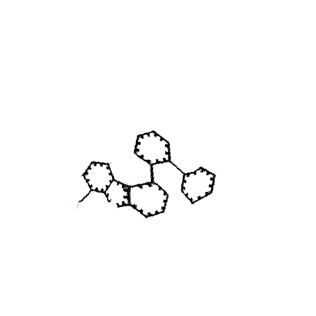 Clc1cccc2c1oc1cccc(-c3ccccc3-c3ccccc3)c12